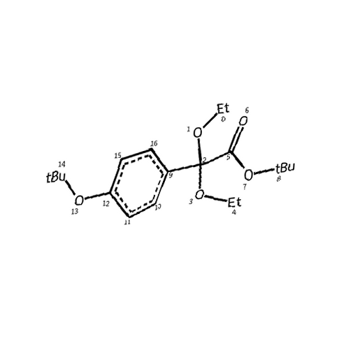 CCOC(OCC)(C(=O)OC(C)(C)C)c1ccc(OC(C)(C)C)cc1